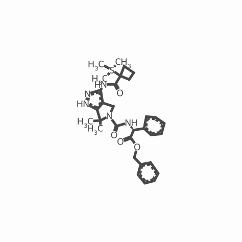 CC1(C)c2[nH]nc(NC(=O)C3(S(C)(C)C)CCC3)c2CN1C(=O)N[C@H](C(=O)OCc1ccccc1)c1ccccc1